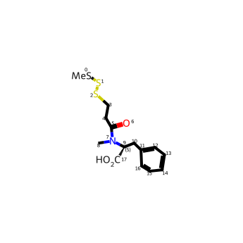 CSSSCCC(=O)N(C)[C@@H](Cc1ccccc1)C(=O)O